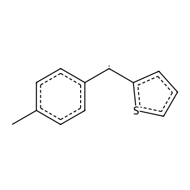 Cc1ccc([CH]c2cccs2)cc1